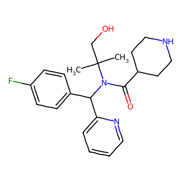 CC(C)(CO)N(C(=O)C1CCNCC1)C(c1ccc(F)cc1)c1ccccn1